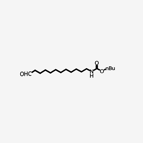 CCCCOC(=O)NCCCCCCCCCCCC=O